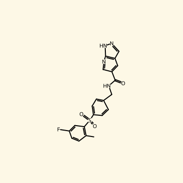 Cc1ccc(F)cc1S(=O)(=O)c1ccc(CNC(=O)c2cnc3[nH]ncc3c2)cc1